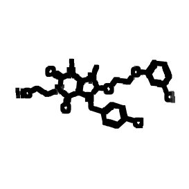 CN1c2c(c(=O)n(CCO)c(=O)n2C)N(Cc2ccc(Cl)cc2)C1OCCOc1cccc(Cl)c1